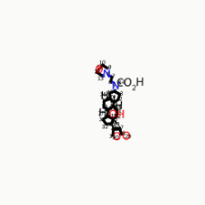 C[C@]12CC[C@H](N(CCN3CCOCC3)C(=O)O)C[C@H]1CC[C@@H]1[C@@H]2CC[C@]2(C)[C@@H](C3=CC(=O)OC3)CC[C@]12O